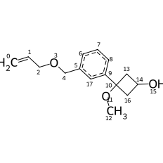 C=CCOCc1cccc(C2(OC)CC(O)C2)c1